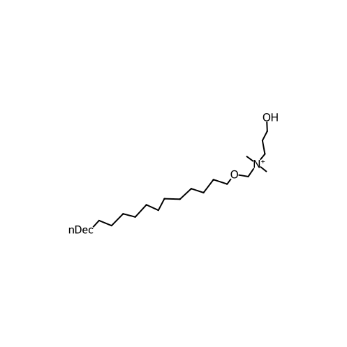 CCCCCCCCCCCCCCCCCCCCCCOC[N+](C)(C)CCCO